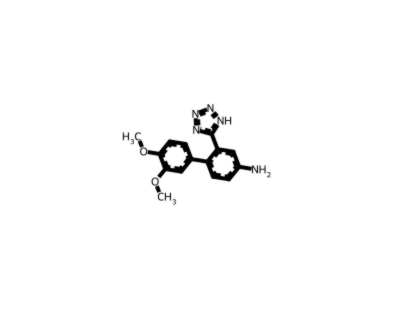 COc1ccc(-c2ccc(N)cc2-c2nnn[nH]2)cc1OC